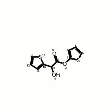 O=C(Oc1cccs1)C(O)c1cccs1